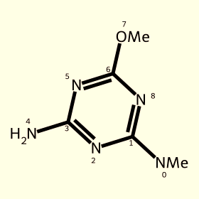 CNc1nc(N)nc(OC)n1